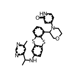 Cc1cc(C(C)Nc2ccc3c(c2)Sc2cccc(C4COCCN4c4cc[nH]c(=O)c4)c2S3)ncn1